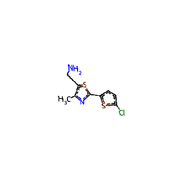 Cc1nc(-c2ccc(Cl)s2)sc1CN